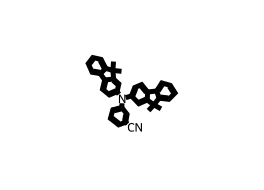 CC1(C)c2ccccc2-c2ccc(N(c3cccc(C#N)c3)c3ccc4c(c3)C(C)(C)c3ccccc3-4)cc21